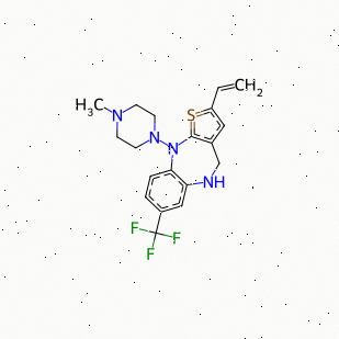 C=Cc1cc2c(s1)N(N1CCN(C)CC1)c1ccc(C(F)(F)F)cc1NC2